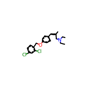 CCN(CC)CC(C)=Cc1ccc(OCc2ccc(Cl)cc2Cl)cc1